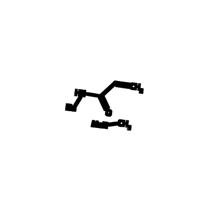 C=CC(=O)NC(C)CC.CNC